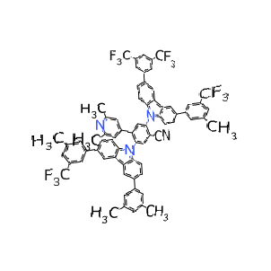 Cc1cc(C)cc(-c2ccc3c(c2)c2cc(-c4cc(C)cc(C(F)(F)F)c4)ccc2n3-c2cc(C#N)c(-n3c4ccc(-c5cc(C)cc(C(F)(F)F)c5)cc4c4cc(-c5cc(C(F)(F)F)cc(C(F)(F)F)c5)ccc43)cc2-c2cc(C)nc(C)c2)c1